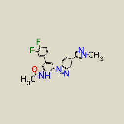 CC(=O)Nc1cc(-c2ccc(F)c(F)c2)cc(-n2cnc3cc(-c4cnn(C)c4)ccc32)c1